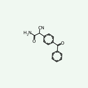 N#CC(C(N)=O)c1ccc(C(=O)c2ccccc2)cc1